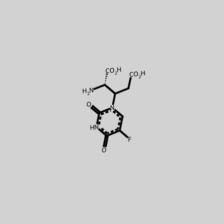 N[C@H](C(=O)O)C(CC(=O)O)n1cc(F)c(=O)[nH]c1=O